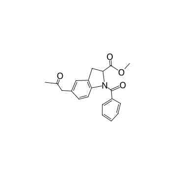 COC(=O)C1Cc2cc(CC(C)=O)ccc2N1C(=O)c1ccccc1